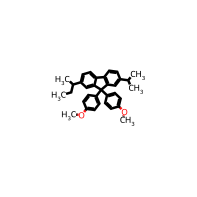 CCC(C)c1ccc2c(c1)C(c1ccc(OC)cc1)(c1ccc(OC)cc1)c1cc(C(C)C)ccc1-2